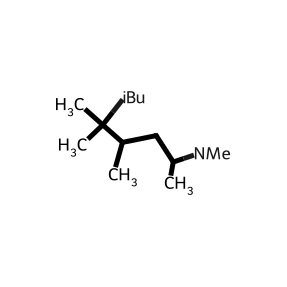 CCC(C)C(C)(C)C(C)CC(C)NC